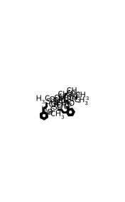 COc1ccccc1CCC[Si](C)(C)O[Si](C)(O[Si](C)(C)CCCc1ccccc1OC(C)=O)O[Si](C)(C)CC[Si](C)(C)O[Si](C)(C)C